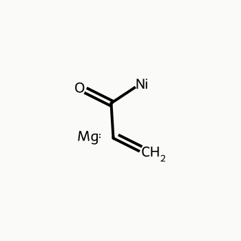 C=C[C](=O)[Ni].[Mg]